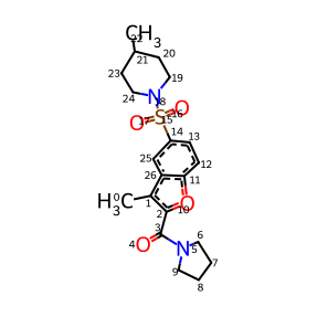 Cc1c(C(=O)N2CCCC2)oc2ccc(S(=O)(=O)N3CCC(C)CC3)cc12